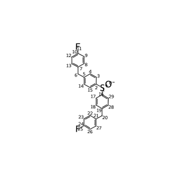 [O-][S+](c1ccc(Cc2ccc(F)cc2)cc1)c1ccc(Cc2ccc(F)cc2)cc1